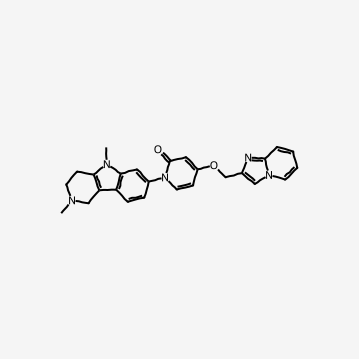 CN1CCc2c(c3ccc(-n4ccc(OCc5cn6ccccc6n5)cc4=O)cc3n2C)C1